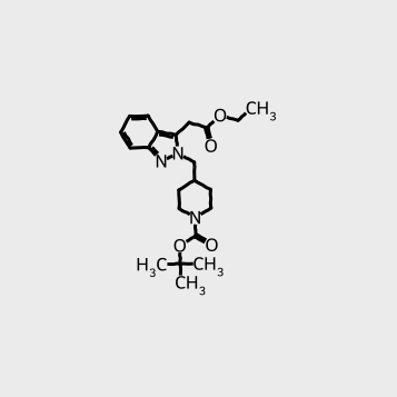 CCOC(=O)Cc1c2ccccc2nn1CC1CCN(C(=O)OC(C)(C)C)CC1